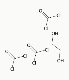 O=C(Cl)Cl.O=C(Cl)Cl.O=C(Cl)Cl.OCCO